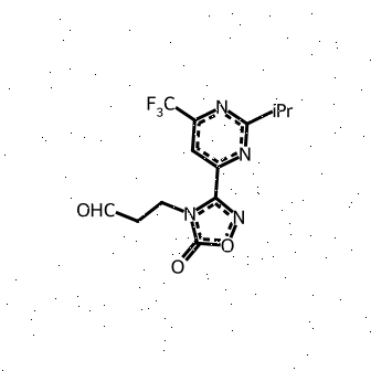 CC(C)c1nc(-c2noc(=O)n2CCC=O)cc(C(F)(F)F)n1